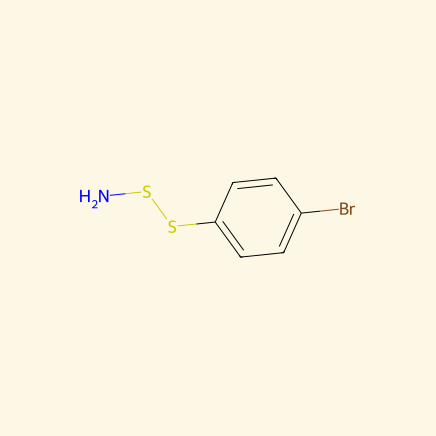 NSSc1ccc(Br)cc1